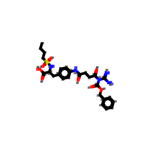 CCCCS(=O)(=O)N[C@@H](Cc1ccc(NC(=O)CCC(=O)N(C(=N)N)C(=O)OCc2ccccc2)cc1)C(=O)O